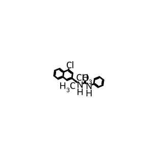 CC(C)(NC(=O)Nc1ccccc1)c1cc(Cl)c2ccccc2c1